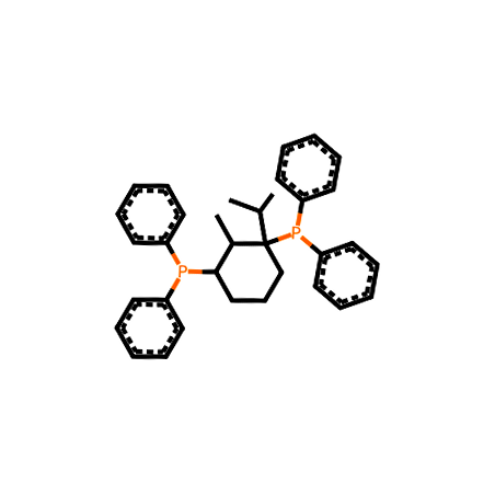 CC(C)C1(P(c2ccccc2)c2ccccc2)CCCC(P(c2ccccc2)c2ccccc2)C1C